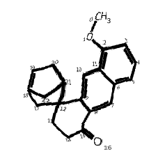 COc1cccc2cc3c(cc12)C1(CCC3=O)CC2=CCC1C2